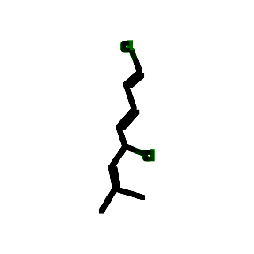 CC(C)=CC(Cl)C=CC=CCl